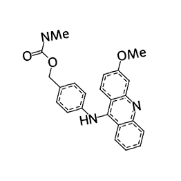 CNC(=O)OCc1ccc(Nc2c3ccccc3nc3cc(OC)ccc23)cc1